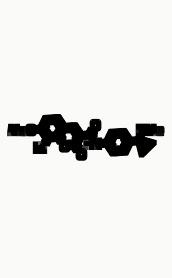 CCc1c(OC)ccc2cc(C(=O)Nc3ccc(C4(NC)CC4)cc3)c(=O)oc12